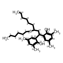 CCCCCCSC(CCCCCC)CC(c1cc(C)cc(C)c1O)c1cc(C)cc(C)c1O